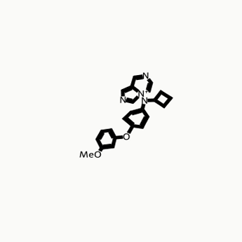 COc1cccc(Oc2ccc(N(C3CCC3)[N+]34C=CN=CC3=CN=C4)cc2)c1